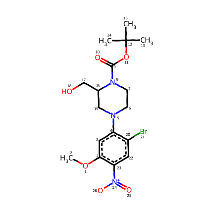 COc1cc(N2CCN(C(=O)OC(C)(C)C)C(CO)C2)c(Br)cc1[N+](=O)[O-]